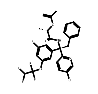 C=C(C)O[C@@H](C)C(=O)N[C@@](Cc1ccccc1)(c1cc(F)cc(OC(F)(F)C(F)F)c1)c1ccc(Cl)cn1